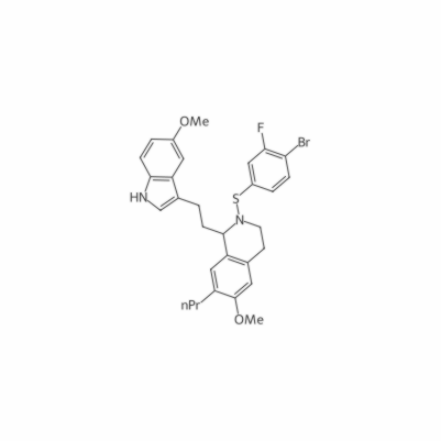 CCCc1cc2c(cc1OC)CCN(Sc1ccc(Br)c(F)c1)C2CCc1c[nH]c2ccc(OC)cc12